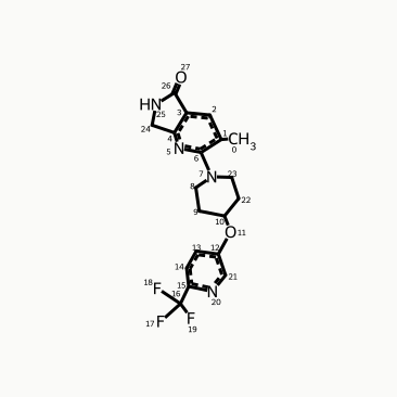 Cc1cc2c(nc1N1CCC(Oc3ccc(C(F)(F)F)nc3)CC1)CNC2=O